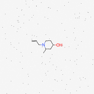 C=CCN1CCC(O)CC1C